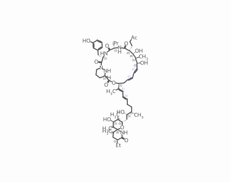 CC[C@H]1C[C@H](C)[C@@]2(NC1=O)O[C@@H](C[C@H](O)[C@@H](C)CC/C=C/C=C(\C)[C@@H]1C/C=C/C=C/[C@H](O)[C@H](C)[C@@H](O)[C@@H](CCC(C)=O)C(=O)N[C@@H](C(C)C)C(=O)N[C@@H](Cc3cccc(O)c3)C(=O)N3CCC[C@H](N3)C(=O)O1)[C@H](C)[C@H](O)[C@@H]2C